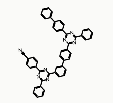 N#Cc1ccc(-c2nc(-c3ccccc3)nc(-c3cccc(-c4ccc(-c5nc(-c6ccccc6)nc(-c6ccc(-c7ccccc7)cc6)n5)cc4)c3)n2)cc1